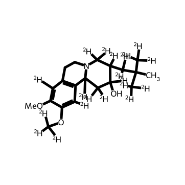 [2H]c1c2c(c([2H])c(OC([2H])([2H])[2H])c1OC)C1([2H])N(CC2)C([2H])([2H])C([2H])(C([2H])([2H])C(C)(C([2H])([2H])[2H])C([2H])([2H])[2H])C([2H])(O)C1([2H])[2H]